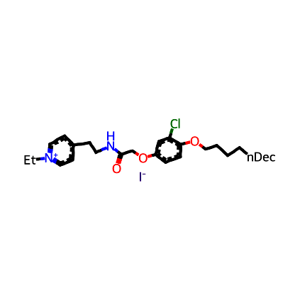 CCCCCCCCCCCCCCOc1ccc(OCC(=O)NCCc2cc[n+](CC)cc2)cc1Cl.[I-]